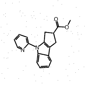 COC(=O)C1Cc2c(n(-c3ccccn3)c3ccccc23)C1